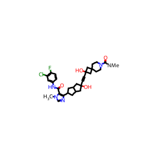 CNC(=O)N1CCC2(CC1)CC(O)(C#CC1(O)CC3CC(c4ncn(C)c4C(=O)Nc4ccc(F)c(Cl)c4)CC3C1)C2